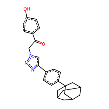 O=C(Cn1cc(-c2ccc(C34CC5CC(CC(C5)C3)C4)cc2)nn1)c1ccc(O)cc1